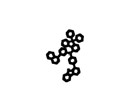 c1ccc(C2(c3ccccc3)c3ccccc3-c3c(N(c4ccc(-c5cccc6c5sc5ccccc56)cc4)c4cccc(-c5cccc6ccccc56)c4)cccc32)cc1